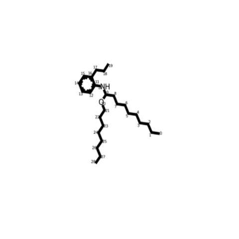 CCCCCCCCCC(Nc1ccccc1CCC)OCCCCCCCC